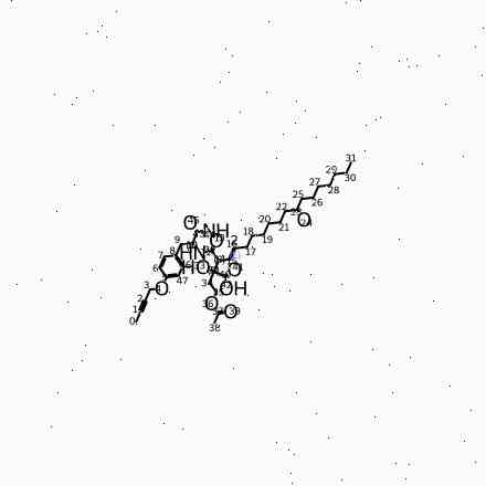 CC#CCOc1ccc(C[C@H](NC(=O)[C@@H](/C=C/CCCCCCC(=O)CCCCCCC)[C@@](O)(CCOC(C)=O)C(=O)O)C(N)=O)cc1